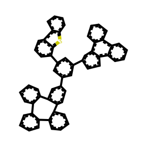 c1ccc2c(c1)-c1ccccc1-c1ccc(-c3cc(-c4ccc5c6ccccc6c6ccccc6c5c4)cc(-c4cccc5c4sc4ccccc45)c3)cc1-c1ccccc1-2